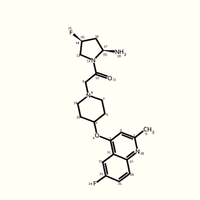 Cc1cc(OC2CCN(CC(=O)N3C[C@@H](F)C[C@H]3N)CC2)c2cc(F)ccc2n1